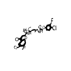 C=C(CCNC(=O)COc1ccc(Cl)c(F)c1)NC(=O)c1cc(=O)c2cc(Cl)c(F)cc2o1